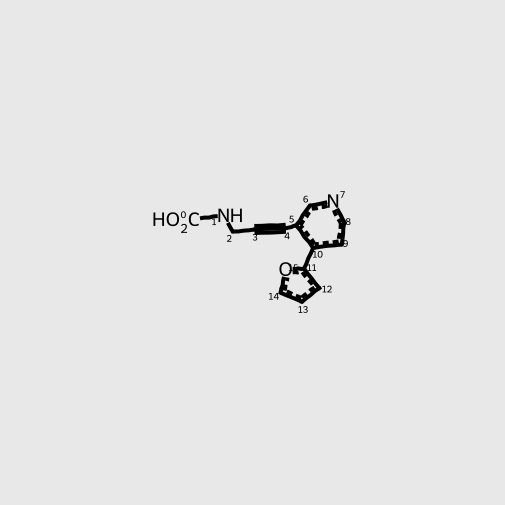 O=C(O)NCC#Cc1cnccc1-c1ccco1